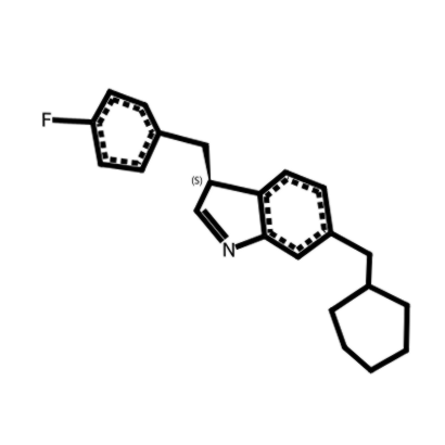 Fc1ccc(C[C@@H]2C=Nc3cc(CC4CCCCC4)ccc32)cc1